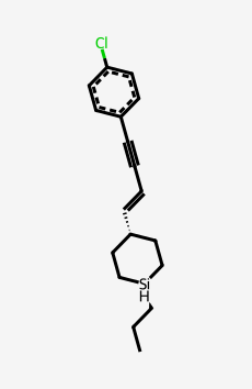 CCC[Si@H]1CC[C@H](C=CC#Cc2ccc(Cl)cc2)CC1